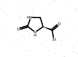 CCC(=O)[C@@H]1CNC(=O)N1